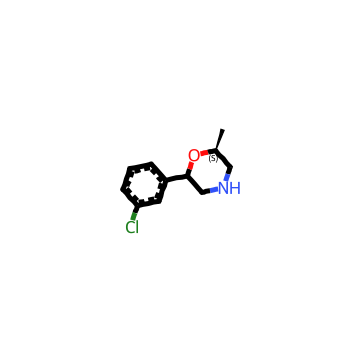 C[C@H]1CNCC(c2cccc(Cl)c2)O1